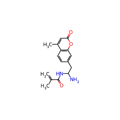 C=C(C)C(=O)NC(N)Cc1ccc2c(C)cc(=O)oc2c1